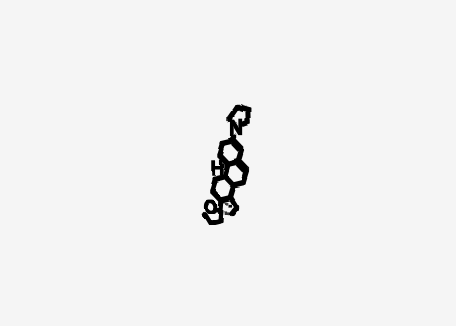 C[C@]12CCC3C(CC=C4C=C(N5CCCC5)CC[C@@H]43)C1CC[C@@]21CCCO1